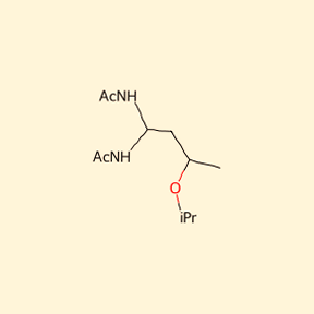 CC(=O)NC(CC(C)OC(C)C)NC(C)=O